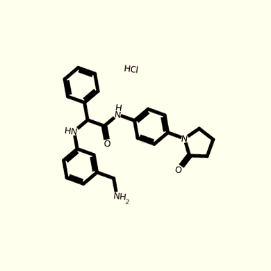 Cl.NCc1cccc(NC(C(=O)Nc2ccc(N3CCCC3=O)cc2)c2ccccc2)c1